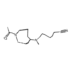 CC(=O)N1CCC(N(C)CCCC#N)CC1